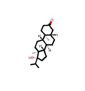 CC(C)[C@]1(O)CC[C@H]2[C@@H]3CC[C@H]4CC(=O)CC[C@]4(C)[C@H]3CC[C@@]21C